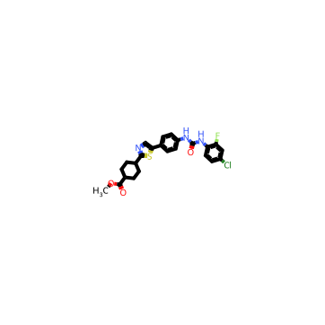 COC(=O)C1CCC(c2ncc(-c3ccc(NC(=O)Nc4ccc(Cl)cc4F)cc3)s2)CC1